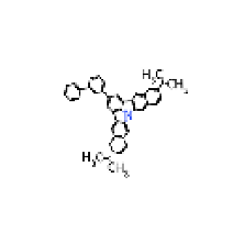 CC(C)c1ccc2cc3c(cc2c1)c1cc(-c2cccc(-c4ccccc4)c2)cc2c4cc5c(cc4n3c21)C=C[C@H](C(C)C)C5